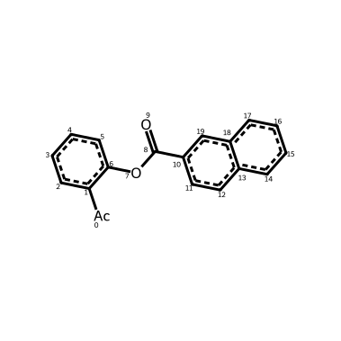 CC(=O)c1ccccc1OC(=O)c1ccc2ccccc2c1